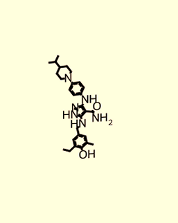 CCc1cc(CNc2[nH]nc(Nc3ccc(N4CCC(C(C)C)CC4)cc3)c2C(N)=O)cc(C)c1O